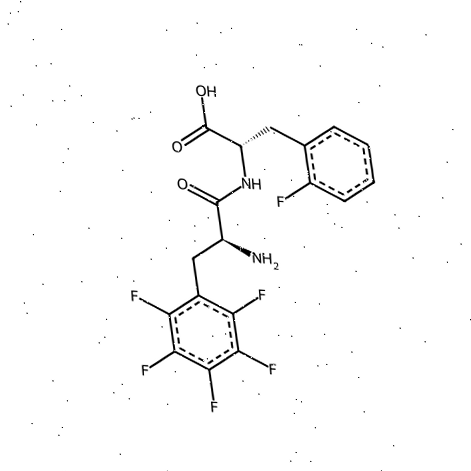 N[C@@H](Cc1c(F)c(F)c(F)c(F)c1F)C(=O)N[C@@H](Cc1ccccc1F)C(=O)O